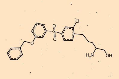 NC(CO)CCCc1ccc(S(=O)(=O)c2cccc(OCc3ccccc3)c2)cc1Cl